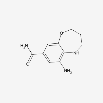 NC(=O)c1cc(N)c2c(c1)OCCCN2